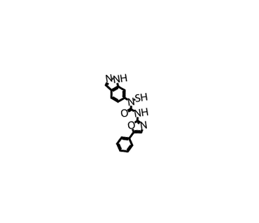 O=C(Nc1ncc(-c2ccccc2)o1)N(S)c1ccc2cn[nH]c2c1